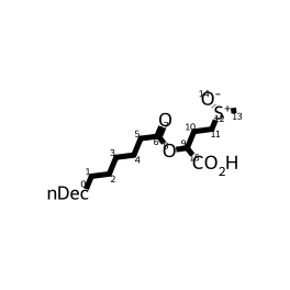 CCCCCCCCCCCCCCCC(=O)OC(CC[S+](C)[O-])C(=O)O